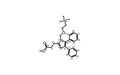 C[Si](C)(C)CCOCn1c(CCC(=O)O)nc(-c2ccccc2)c1-c1ccccc1